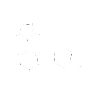 Cc1nsc(C)c1-c1cccnc1Oc1ccc(C(C)(F)F)nc1